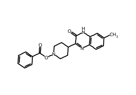 Cc1ccc2nc(C3CCN(OC(=O)c4ccccc4)CC3)c(=O)[nH]c2c1